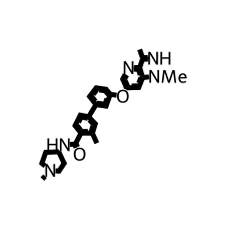 CNc1cc(Oc2cccc(-c3ccc(C(=O)NC4CCN(C)CC4)c(C)c3)c2)cnc1C(C)=N